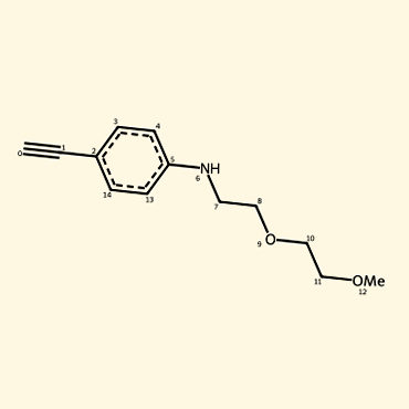 C#Cc1ccc(NCCOCCOC)cc1